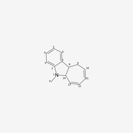 CN1c2ccccc2C2CC=CC=CC21